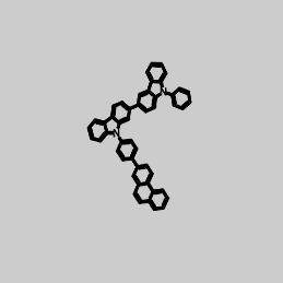 c1ccc(-n2c3ccccc3c3cc(-c4ccc5c6ccccc6n(-c6ccc(-c7ccc8c(ccc9ccccc98)c7)cc6)c5c4)ccc32)cc1